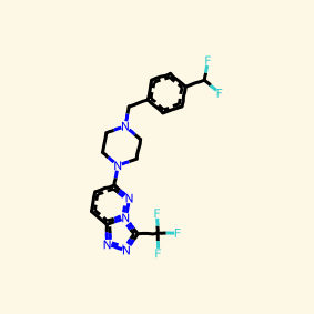 FC(F)c1ccc(CN2CCN(c3ccc4nnc(C(F)(F)F)n4n3)CC2)cc1